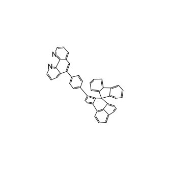 c1ccc2c(c1)-c1ccccc1C21c2cc(-c3ccc(-c4cc5cccnc5c5ncccc45)cc3)ccc2-c2cccc3cccc1c23